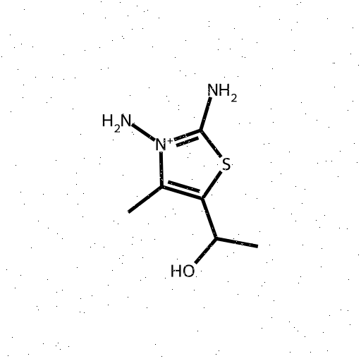 Cc1c(C(C)O)sc(N)[n+]1N